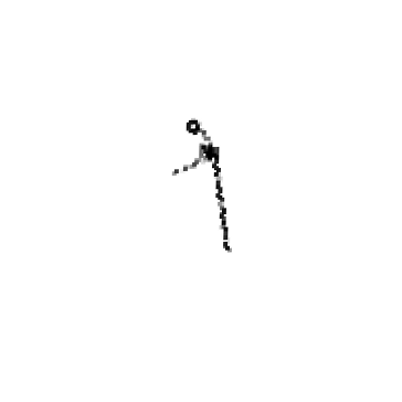 CCCCCCCCCCCCCCCCCCCn1cc(CCCc2ccccc2)nc1CCCCCCC